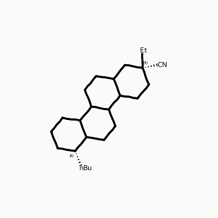 CCCC[C@@H]1CCCC2C3CCC4C[C@@](C#N)(CC)CCC4C3CCC21